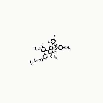 COCCOc1cccc(-c2cn(C)c(=O)cc2-c2cn(C)c(=O)c3c2cc(-c2ccc(F)cc2F)n3S(=O)(=O)c2ccc(C)cc2)c1